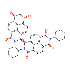 O=C1CC(=O)c2ccc3c4c(ccc1c24)C(=O)N([C@H]1CCCC[C@@H]1N1C(=O)c2ccc4c5c(ccc(c25)C1=O)C(=O)N(C1CCCCC1)C4=O)C3=O